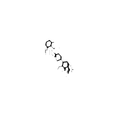 CCc1c(-c2ccc(NC(=O)c3c(F)cccc3F)nc2)cnc2c1oc(=O)n2C